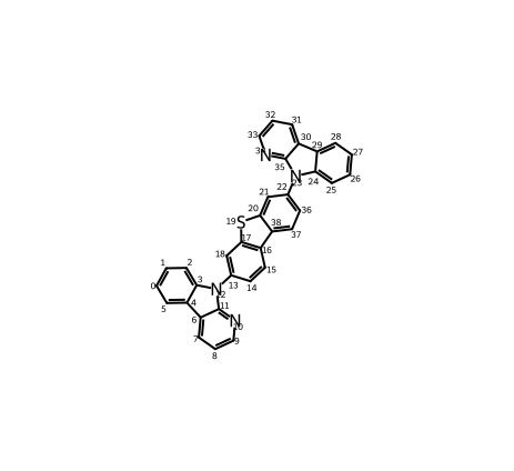 c1ccc2c(c1)c1cccnc1n2-c1ccc2c(c1)sc1cc(-n3c4ccccc4c4cccnc43)ccc12